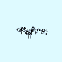 CN(C)CCOc1cc(F)cc(-c2nccc3[nH]c(-c4n[nH]c5cnc(-c6cncc(NC(=O)C7CCCCC7)c6)cc45)nc23)c1